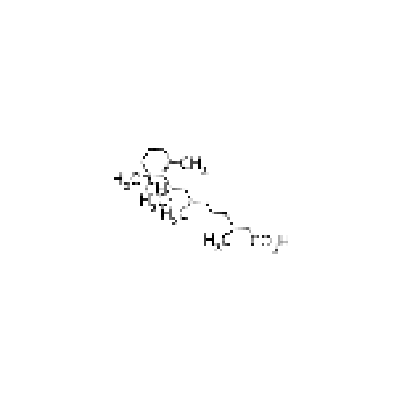 CC1=C(/C(C)=C/C(C)=C/C=C/C(C)=C/C(=O)O)C(C)(C)CCC1